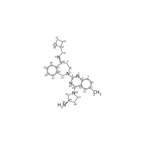 Cc1ccc2nc(N3CCS(=NCC4CCO4)c4ccccc4C3)nc(N3CC[C@@H](N)C3)c2c1